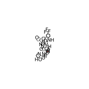 O=C(Cn1c2c(c(=O)n3nc(C4=CCOCC4)nc13)[C@@]1(CCN(C(=O)c3ncccc3O)[C@@H]3CC[C@@H]31)[C@H]1C[C@@H]21)Nc1ccc(C(F)(F)F)cc1Cl